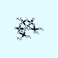 CC(C)(C)OS(=O)(=O)O[Si](C)(C)OS(=O)(=O)OC(C)(C)C